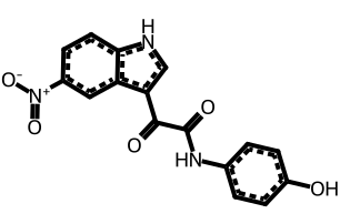 O=C(Nc1ccc(O)cc1)C(=O)c1c[nH]c2ccc([N+](=O)[O-])cc12